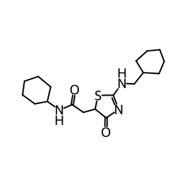 O=C(CC1SC(NCC2CCCCC2)=NC1=O)NC1CCCCC1